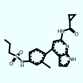 CCCS(=O)(=O)Nc1ccc(-c2cc(NC(=O)C3CC3)nc3[nH]ccc23)c(C)c1